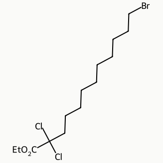 CCOC(=O)C(Cl)(Cl)CCCCCCCCCCBr